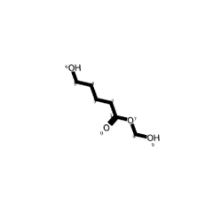 O=C(CCCCO)OCO